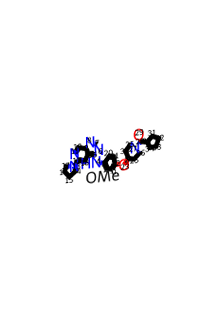 COc1cc(Nc2ncnc3cnc(N4CCCC4)cc23)ccc1OC1CCN(C(=O)C2CCCC2)CC1